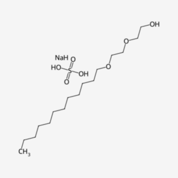 CCCCCCCCCCCCOCCOCCO.O=S(=O)(O)O.[NaH]